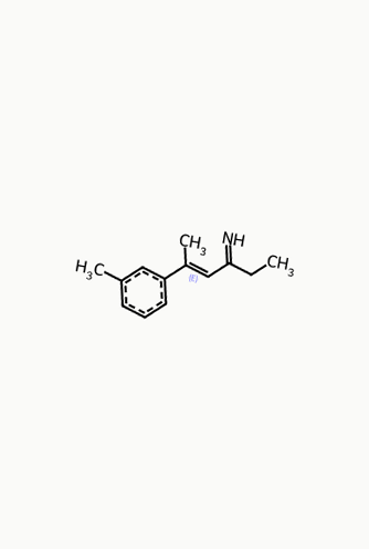 CCC(=N)/C=C(\C)c1cccc(C)c1